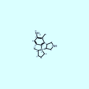 Cc1cc([N+]2(C3CCNC3)CCC[C@H]2C)ccc1N